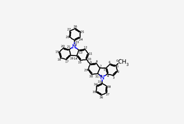 Cc1ccc2c(c1)C1C=C(c3ccc4c(c3)c3ccccc3n4-c3ccccc3)C=CC1N2c1ccccc1